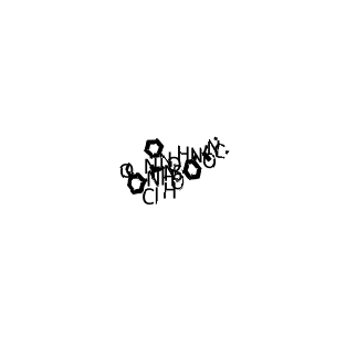 CCN(C)CC(=O)Nc1cccc(S(=O)(=O)Nc2nc3ccccc3nc2Nc2cc(OC)ccc2Cl)c1